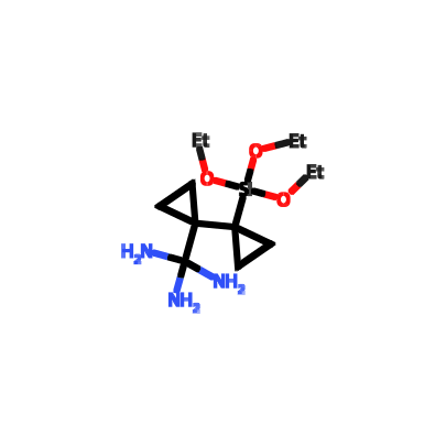 CCO[Si](OCC)(OCC)C1(C2(C(N)(N)N)CC2)CC1